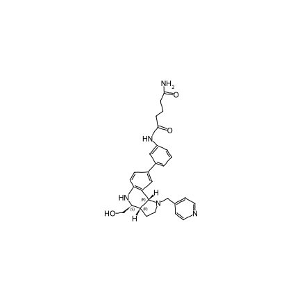 NC(=O)CCCC(=O)Nc1cccc(-c2ccc3c(c2)[C@H]2[C@H](CCN2Cc2ccncc2)[C@@H](CO)N3)c1